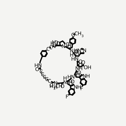 COc1ccc(C[C@@H]2NC(=O)[C@H](Cc3cnc[nH]3)NC(=O)[C@H](CC(=O)O)NC(=O)[C@H](Cc3c[nH]c4ccc(F)cc34)NC(=O)[C@H](Cc3c[nH]c4ccc(F)cc34)NC(=O)[C@H](C)NC(=O)CCCCCC(=O)NCc3ccc(cc3)CCNC(=O)[C@]3(C)CCCN3C2=O)cc1